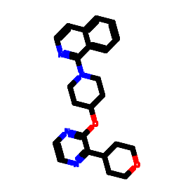 c1ccc2c(N3CCC(Oc4nccnc4C4CCOCC4)CC3)nccc2c1